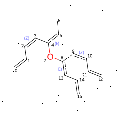 C=C/C=C\C(=C/C)OC(/C=C\C=C)=C/C=C